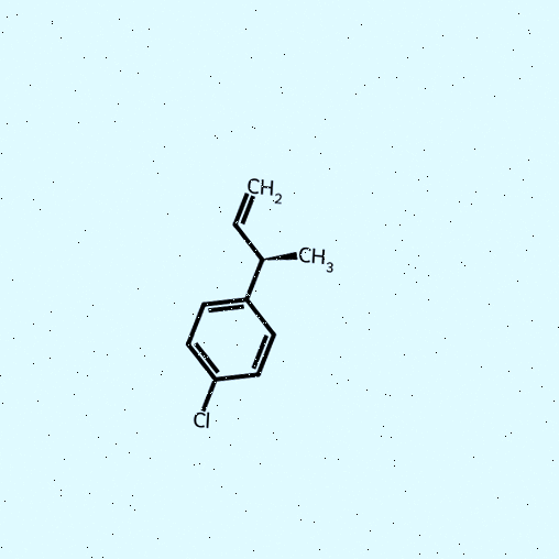 C=C[C@@H](C)c1ccc(Cl)cc1